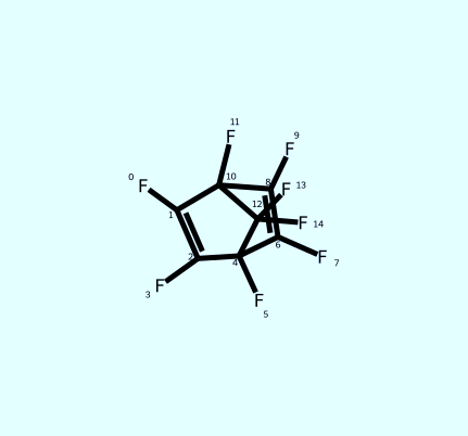 FC1=C(F)C2(F)C(F)=C(F)C1(F)C2(F)F